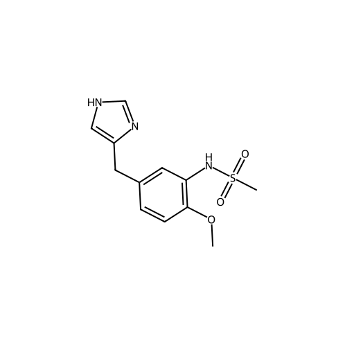 COc1ccc(Cc2c[nH]cn2)cc1NS(C)(=O)=O